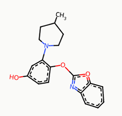 CC1CCN(c2cc(O)ccc2Oc2nc3ccccc3o2)CC1